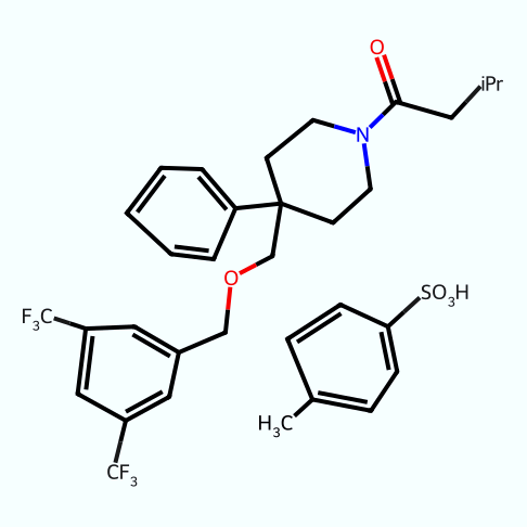 CC(C)CC(=O)N1CCC(COCc2cc(C(F)(F)F)cc(C(F)(F)F)c2)(c2ccccc2)CC1.Cc1ccc(S(=O)(=O)O)cc1